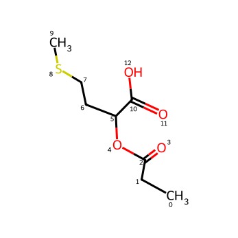 CCC(=O)OC(CCSC)C(=O)O